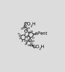 C=C(C)c1ccc(C)cc1-c1c(OCN(C)C(=O)O)cc(CCCCC)cc1OCN(C)C(=O)O